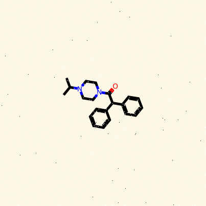 CC(C)N1CCN(C(=O)C(c2ccccc2)c2ccccc2)CC1